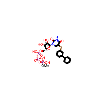 COP(=O)(O)OP(=O)(O)OP(=O)(O)OC[C@H]1O[C@@H](n2cc(Sc3cccc(-c4ccccc4)c3)c(=O)[nH]c2=O)[C@H](O)[C@@H]1O